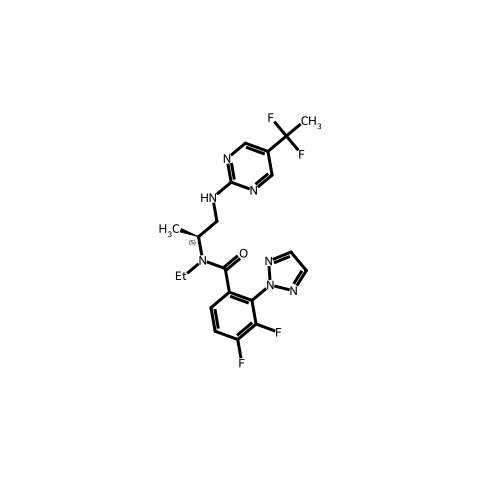 CCN(C(=O)c1ccc(F)c(F)c1-n1nccn1)[C@@H](C)CNc1ncc(C(C)(F)F)cn1